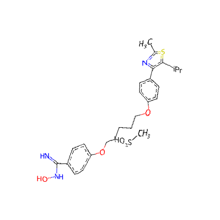 CS(=O)(=O)O.Cc1nc(-c2ccc(OCCCCCOc3ccc(C(=N)NO)cc3)cc2)c(C(C)C)s1